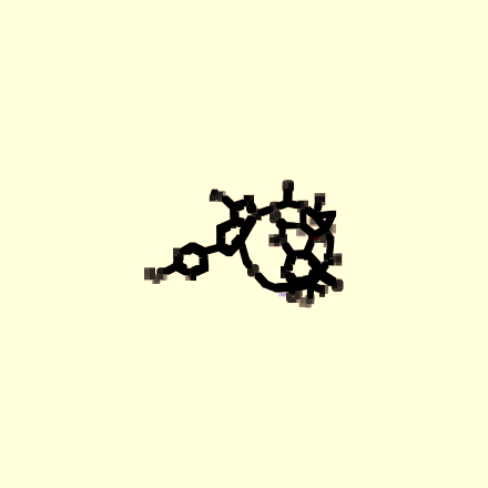 CC(=O)c1nn2c3c(cc(-c4cnc(C)nc4)cc13)COC/C=C\C(F)(F)C(=O)NC[C@@]13C[C@@H](C(=O)Nc4nc(C(F)(F)F)ccc4C)N(C(=O)C2)[C@@H]1C3